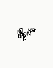 C[Si](C)(C)C#Cc1cnc(-c2ccc(Nc3nc(Cl)ncc3Br)c(P(C)(C)=O)c2)cn1